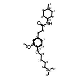 COc1cc(CCC(=O)NC2CCC(C)CC2)ccc1OCCCCN(C)C